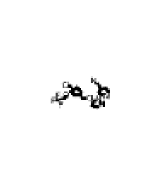 N#Cc1ccnc(-n2nccc2OCc2ccc(Cl)c(OCC(F)(F)F)c2)c1